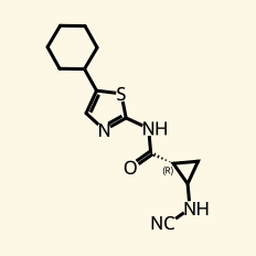 N#CNC1C[C@H]1C(=O)Nc1ncc(C2CCCCC2)s1